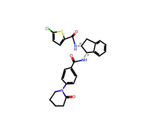 O=C(N[C@H]1c2ccccc2C[C@H]1NC(=O)c1ccc(Cl)s1)c1ccc(N2CCCCC2=O)cc1